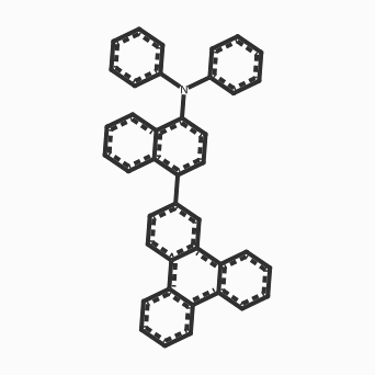 c1ccc(N(c2ccccc2)c2ccc(-c3ccc4c5ccccc5c5ccccc5c4c3)c3ccccc23)cc1